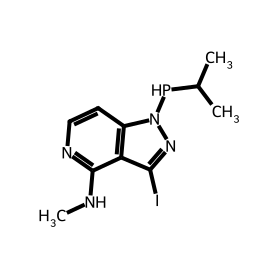 CNc1nccc2c1c(I)nn2PC(C)C